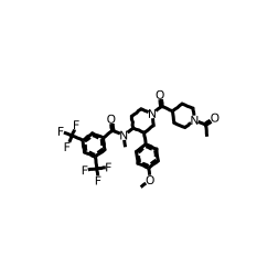 COc1ccc(C2CN(C(=O)C3CCN(C(C)=O)CC3)CCC2N(C)C(=O)c2cc(C(F)(F)F)cc(C(F)(F)F)c2)cc1